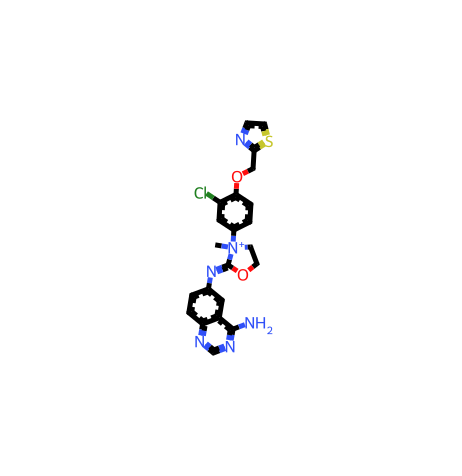 C[N+]1(c2ccc(OCc3nccs3)c(Cl)c2)CCOC1=Nc1ccc2ncnc(N)c2c1